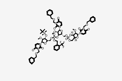 CO[C@@H]1[C@H](O[Si](C)(C)C(C)(C)C)[C@@H](COP(=O)(OCc2ccccc2C(F)(F)F)O[C@H]2[C@@H](OC)[C@H](n3ccc(=O)n(COCc4ccccc4)c3=O)O[C@@H]2COP2(=O)OC[C@H]3O[C@@H](n4ccc(=O)n(COCc5ccccc5)c4=O)[C@H](OC)[C@@H]3O2)O[C@H]1n1ccc(=O)n(COCc2ccccc2)c1=O